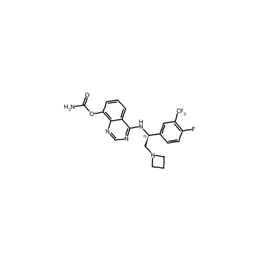 NC(=O)Oc1cccc2c(N[C@H](CN3CCC3)c3ccc(F)c(C(F)(F)F)c3)ncnc12